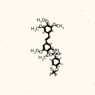 COc1cc(C=Cc2cc(OC)c(OC)c(OC)c2)cc(NS(=O)(=O)c2ccc(OC(F)(F)F)cc2)c1OC